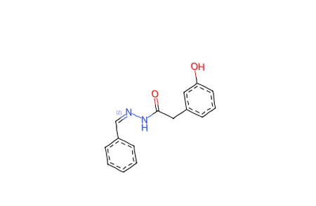 O=C(Cc1cccc(O)c1)N/N=C\c1ccccc1